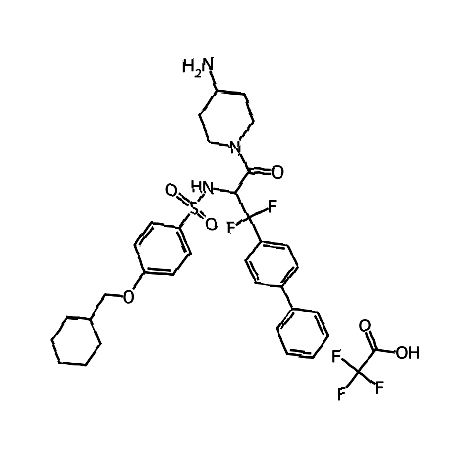 NC1CCN(C(=O)C(NS(=O)(=O)c2ccc(OCC3CCCCC3)cc2)C(F)(F)c2ccc(-c3ccccc3)cc2)CC1.O=C(O)C(F)(F)F